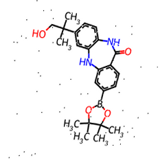 CC(C)(CO)c1ccc2c(c1)Nc1cc(B3OC(C)(C)C(C)(C)O3)ccc1C(=O)N2